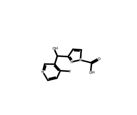 O=C(O)n1ccc(C(O)c2cnccc2F)n1